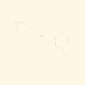 COC1=NC(NC(=O)Oc2ccccc2)(OC)NC=C1